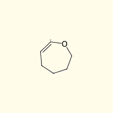 [C]1=CCCCCO1